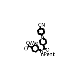 CCCCCN(C(=O)C1CCN(c2ccc(C#N)cc2)CC1)C1CCC(C(=O)OC)CC1